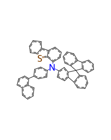 c1ccc2c(c1)-c1ccccc1C21c2ccccc2-c2ccc(N(c3ccc(-c4cccc5ccccc45)cc3)c3cccc4c3sc3ccccc34)cc21